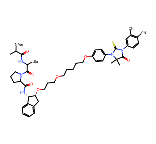 CNC(C)C(=O)NC(C(=O)N1CCCC1C(=O)N[C@H]1c2ccccc2C[C@H]1OCCCOCCCCCOc1ccc(N2C(=S)N(c3ccc(C#N)c(C(F)(F)F)c3)C(=O)C2(C)C)cc1)C(C)(C)C